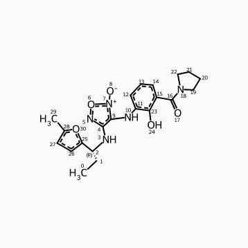 CC[C@@H](Nc1no[n+]([O-])c1Nc1cccc(C(=O)N2CCCC2)c1O)c1ccc(C)o1